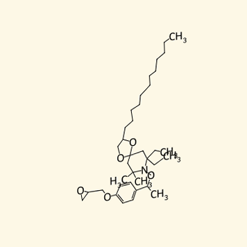 CCCCCCCCCCCCC1COC2(CC(C)(C)N(OC(C)c3ccc(OCC4CO4)cc3)C(CC)(CC)C2)O1